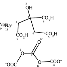 O=C(O)CC(O)(CC(=O)O)C(=O)O.O=C([O-])OC(=O)OC(=O)[O-].[Na+].[Na+]